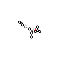 c1ccc(-c2ccc(N(c3ccc(-c4ccc(-c5ccc6c(c5)oc5ccccc56)cc4)cc3)c3ccc(-c4ccccc4-n4c5ccccc5c5ccccc54)cc3)cc2)cc1